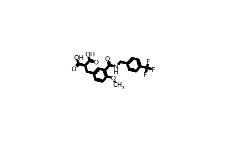 COc1ccc(CC(C(=O)O)C(=O)O)cc1C(=O)NCc1ccc(C(F)(F)F)cc1